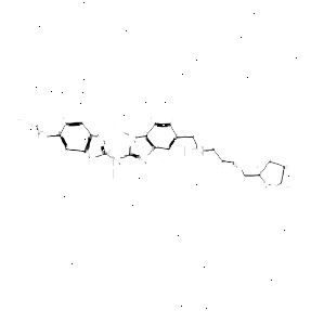 Cn1c(Nc2nc3ccc(OC(F)(F)F)cc3s2)nc2cc(CNCCOCC3CCCO3)ccc21